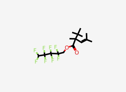 CC(C)=CC(C)(C(=O)OCC(F)(F)C(F)(F)C(F)(F)C(F)F)C(C)(C)C